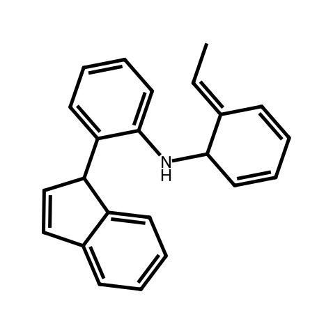 CC=C1C=CC=CC1Nc1ccccc1C1C=Cc2ccccc21